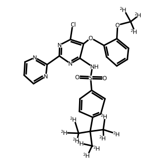 [2H]C([2H])([2H])Oc1ccccc1Oc1c(Cl)nc(-c2ncccn2)nc1NS(=O)(=O)c1ccc(C(C([2H])([2H])[2H])(C([2H])([2H])[2H])C([2H])([2H])[2H])cc1